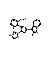 COc1cccc(F)c1-c1nc(-c2c(C)nn3ccccc23)sc1-c1nc[nH]n1